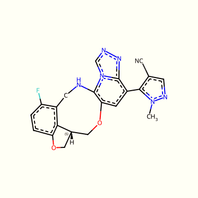 Cn1ncc(C#N)c1-c1cc2c(n3cnnc13)NCc1c(F)ccc3c1[C@@H](CO3)CO2